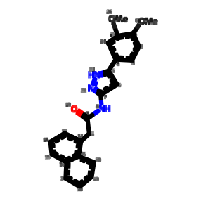 COc1ccc(-c2cc(NC(=O)Cc3cccc4ccccc34)n[nH]2)cc1OC